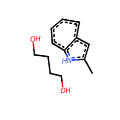 Cc1cc2ccccc2[nH]1.OCCCCO